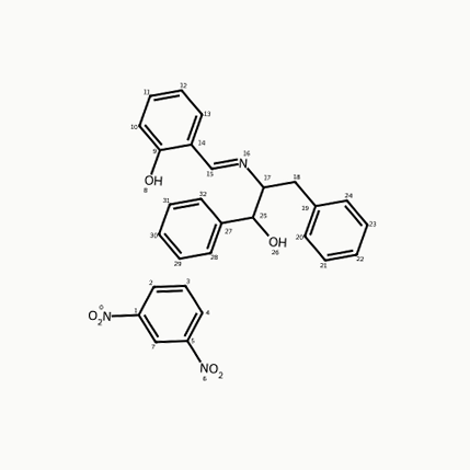 O=[N+]([O-])c1cccc([N+](=O)[O-])c1.Oc1ccccc1C=NC(Cc1ccccc1)C(O)c1ccccc1